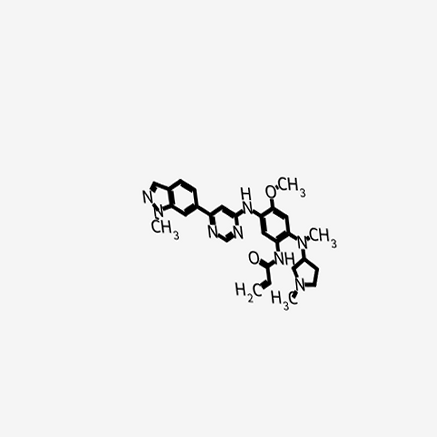 C=CC(=O)Nc1cc(Nc2cc(-c3ccc4cnn(C)c4c3)ncn2)c(OC)cc1N(C)C1CCN(C)C1